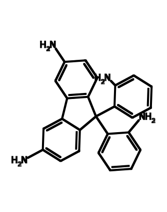 Nc1ccc2c(c1)-c1cc(N)ccc1C2(c1ccccc1N)c1ccccc1N